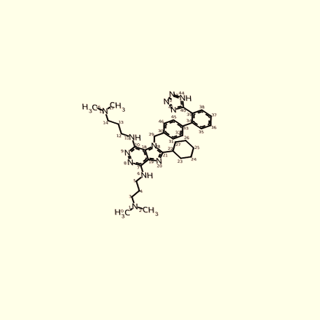 CN(C)CCCNc1nnc(NCCCN(C)C)c2c1nc(C1CCCCC1)n2Cc1ccc(-c2ccccc2-c2nnn[nH]2)cc1